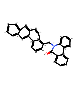 O=c1c2ccccc2c2ccccc2n1Cc1cccc2c1ccc1cc3ccccc3cc12